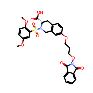 COc1ccc(OC)c(S(=O)(=O)N2Cc3cc(OCCCON4C(=O)c5ccccc5C4=O)ccc3C[C@H]2C(=O)O)c1